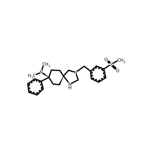 CN(C)[C@]1(c2ccccc2)CC[C@@]2(CC1)CN(Cc1cccc(S(C)(=O)=O)c1)CN2